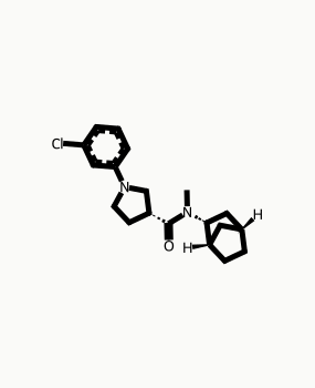 CN(C(=O)[C@@H]1CCN(c2cccc(Cl)c2)C1)[C@@H]1C[C@@H]2CC[C@H]1C2